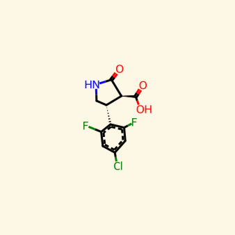 O=C(O)[C@@H]1C(=O)NC[C@H]1c1c(F)cc(Cl)cc1F